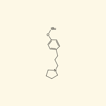 CC(C)(C)Oc1ccc(CCCN2CCCC2)cc1